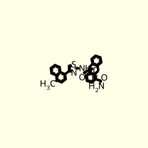 Cc1ccc(-c2csc(NC(=O)C3(C)CC4c5ccccc5C3c3cccc(C(N)=O)c34)n2)c2ccccc12